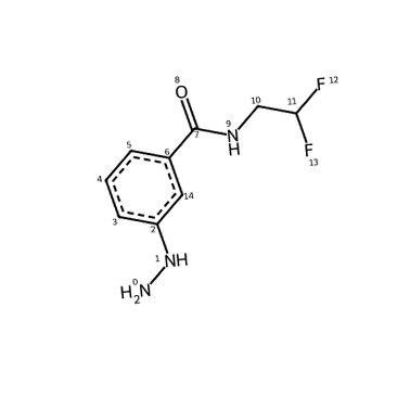 NNc1cccc(C(=O)NCC(F)F)c1